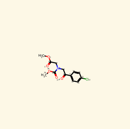 COC(=O)CN(CC(=O)c1ccc(Cl)cc1)C(=O)OC